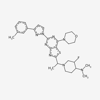 Cc1cccc(-c2ccn(-c3nc(N4CCOCC4)c4sc(C(C)N5CCC(N(C)C)C(F)C5)nc4n3)n2)c1